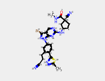 CNC(=O)[C@]1(C#N)CC[C@@H](Nc2ncc3c(Br)nn(-c4ccc(-c5nnc(C)s5)c(CCC#N)c4)c3n2)C1